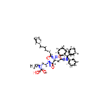 CCCCCCCC(=O)NC(CC(=O)NC(c1ccccc1)(c1ccccc1)c1ccccc1)C(=O)NCCN(C)C(=O)O